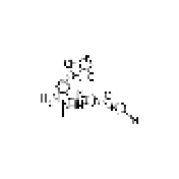 CC(Oc1ccc(N)c(C(=N)c2nc3c([nH]2)CN(C(=O)CN2CCC(C#N)C2)C3)c1)c1c(Cl)cncc1Cl